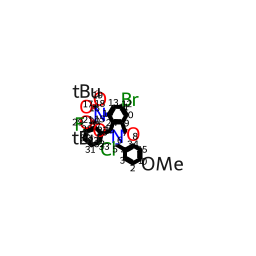 COc1ccc(CN2C(=O)c3cc(Br)cc(N(C(=O)OC(C)(C)C)C(=O)OC(C)(C)C)c3C2c2cc(F)ccc2Cl)cc1